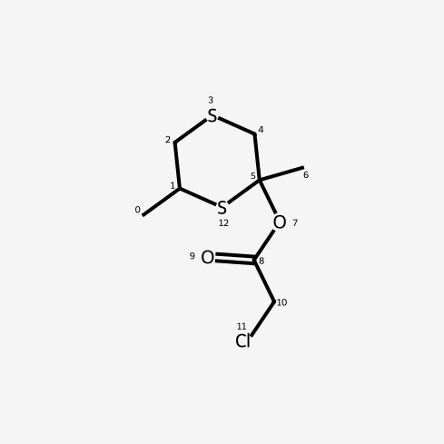 CC1CSCC(C)(OC(=O)CCl)S1